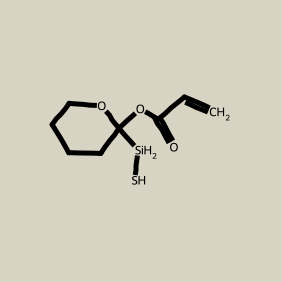 C=CC(=O)OC1([SiH2]S)CCCCO1